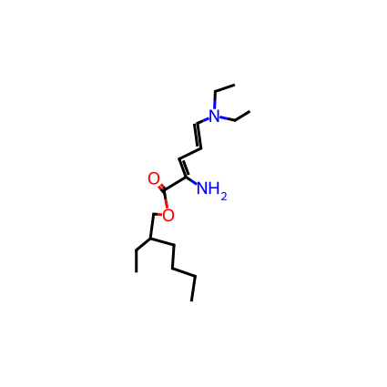 CCCCC(CC)COC(=O)/C(N)=C/C=C/N(CC)CC